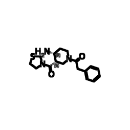 N[C@@H]1CCN(C(=O)Cc2ccccc2)C[C@@H]1C(=O)N1CCSC1